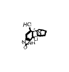 Cc1cc2c(c(Cl)c1SC1CC3CCC(C1)N3C)NC(=O)[N]2.Cl